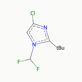 CC(C)(C)c1nc(Cl)cn1C(F)F